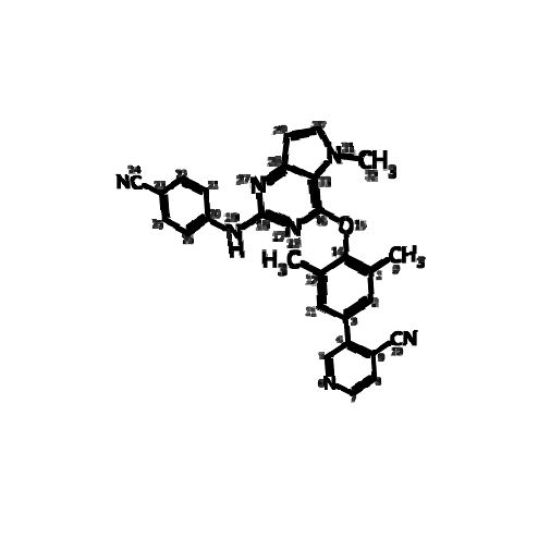 Cc1cc(-c2cnccc2C#N)cc(C)c1Oc1nc(Nc2ccc(C#N)cc2)nc2ccn(C)c12